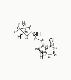 CC1(C)[C@@H]2C[C@H](NCCc3c[nH]c4cccc(Cl)c34)C[C@@H]21